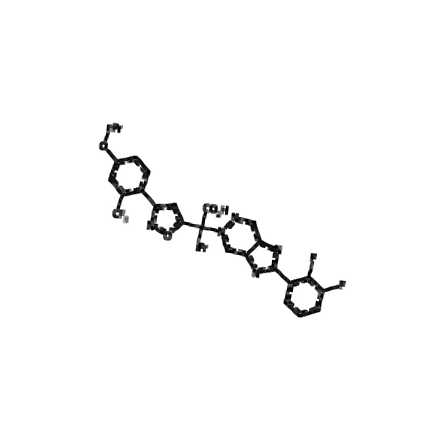 CCCOc1ccc(-c2cc(C(C(=O)O)(C(C)C)n3cc4nc(-c5cccc(F)c5F)nc-4cn3)on2)c(C(F)(F)F)c1